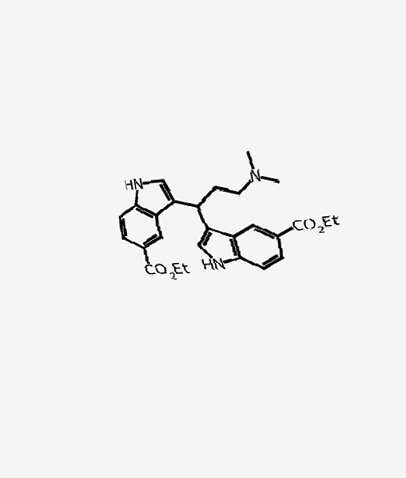 CCOC(=O)c1ccc2[nH]cc(C(CCN(C)C)c3c[nH]c4ccc(C(=O)OCC)cc34)c2c1